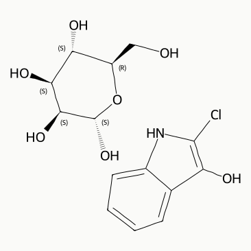 OC[C@H]1O[C@H](O)[C@@H](O)[C@@H](O)[C@@H]1O.Oc1c(Cl)[nH]c2ccccc12